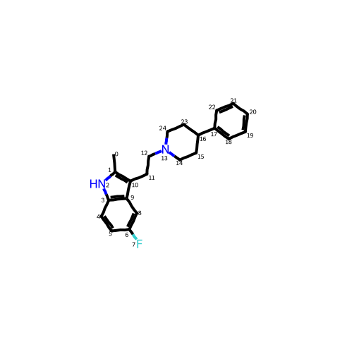 Cc1[nH]c2ccc(F)cc2c1CCN1CCC(c2ccccc2)CC1